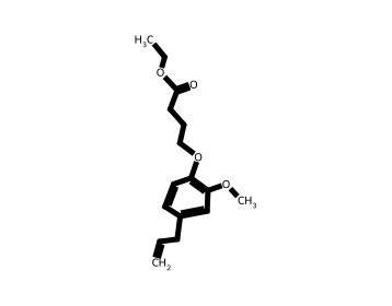 C=CCc1ccc(OCCCC(=O)OCC)c(OC)c1